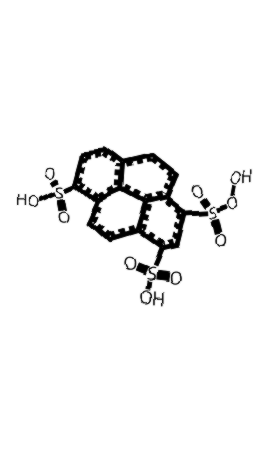 O=S(=O)(O)c1ccc2ccc3c(S(=O)(=O)OO)cc(S(=O)(=O)O)c4ccc1c2c43